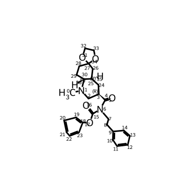 CN1C[C@H](C(=O)N(CCc2ccccc2)C(=O)Oc2ccccc2)C[C@@H]2CC3(CC[C@H]21)OCCO3